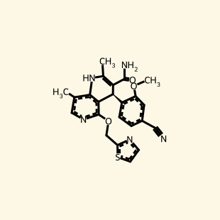 COc1cc(C#N)ccc1[C@@H]1C(C(N)=O)=C(C)Nc2c(C)cnc(OCc3nccs3)c21